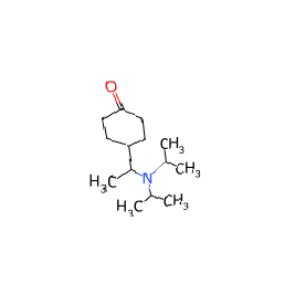 CC(C)N(C(C)C)C(C)C1CCC(=O)CC1